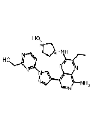 CCc1nc2c(N)ncc(-c3cnn(-c4ccnc(CO)n4)c3)c2nc1N[C@@H]1CC[C@H](O)C1